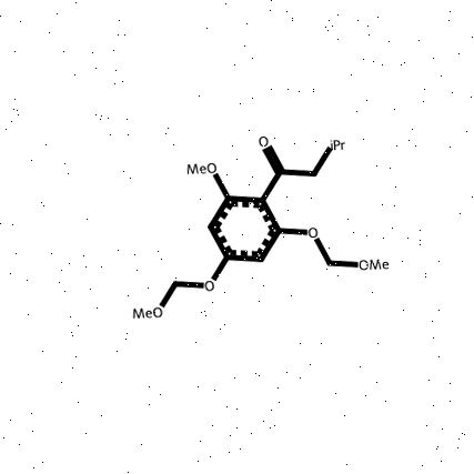 COCOc1cc(OC)c(C(=O)CC(C)C)c(OCOC)c1